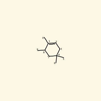 CC1=CCC(C)(C)[CH]C1C